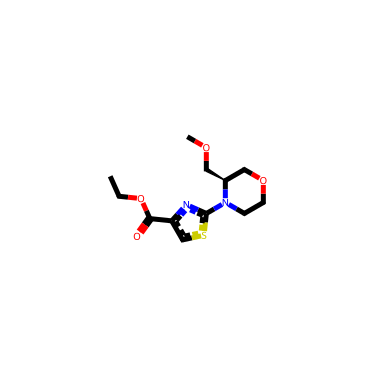 CCOC(=O)c1csc(N2CCOC[C@@H]2COC)n1